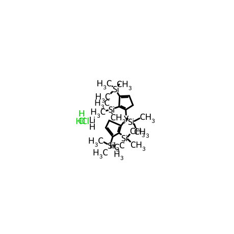 C[Si](C)=[Y]([C]1=C([Si](C)(C)C)C([Si](C)(C)C)=CC1)[C]1=C([Si](C)(C)C)C([Si](C)(C)C)=CC1.Cl.Cl.[LiH]